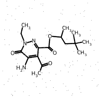 CCn1nc(C(=O)OC(C)CC(C)(C)C)c(C(C)=O)c(N)c1=O